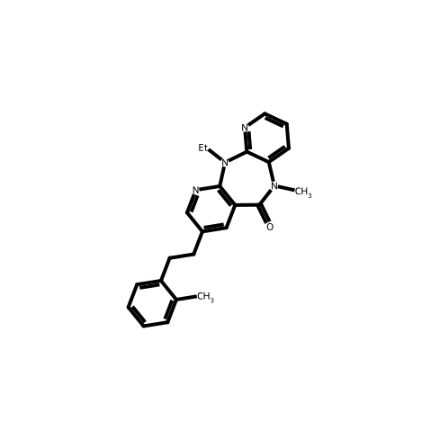 CCN1c2ncc(CCc3ccccc3C)cc2C(=O)N(C)c2cccnc21